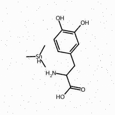 NC(Cc1ccc(O)c(O)c1)C(=O)O.[CH3][SnH]([CH3])[CH3]